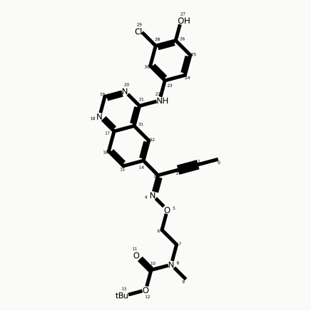 CC#C/C(=N\OCCN(C)C(=O)OC(C)(C)C)c1ccc2ncnc(Nc3ccc(O)c(Cl)c3)c2c1